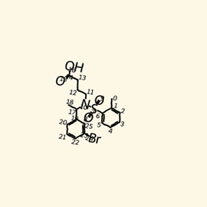 Cc1ccccc1S(=O)(=O)N(CCCC(=O)O)C(C)c1cccc(Br)c1